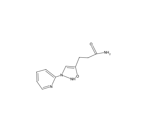 NC(=O)CCC1=CN(c2ccccn2)NO1